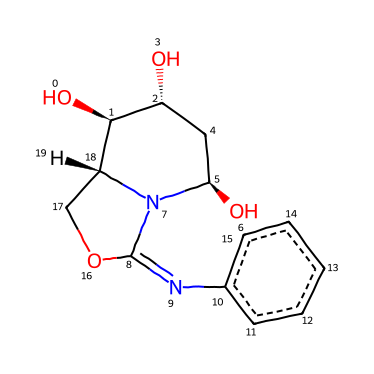 O[C@H]1[C@H](O)C[C@@H](O)N2/C(=N\c3ccccc3)OC[C@H]12